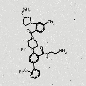 CCOc1ncccc1-c1ccc(N2CCN(C(=O)c3ccc(C)cc3N3CC[C@H](CN)C3)C[C@H]2CC)c(C(=O)NCCN)c1